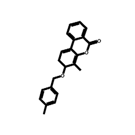 CC1=c2oc(=O)c3ccccc3c2=CCC1OCc1ccc(C)cc1